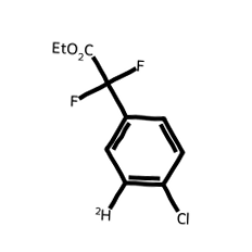 [2H]c1cc(C(F)(F)C(=O)OCC)ccc1Cl